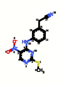 CSc1ncc([N+](=O)[O-])c(Nc2cccc(CC#N)c2)n1